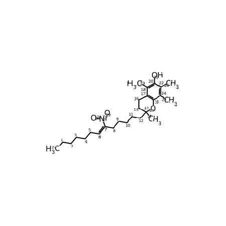 CCCCCC/C=C(/CCCCCC1(C)CCc2c(C)c(O)c(C)c(C)c2O1)[N+](=O)[O-]